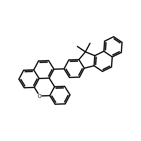 CC1(C)c2cc(-c3ccc4cccc5c4c3-c3ccccc3O5)ccc2-c2ccc3ccccc3c21